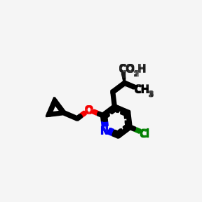 C[C@@H](Cc1cc(Cl)cnc1OCC1CC1)C(=O)O